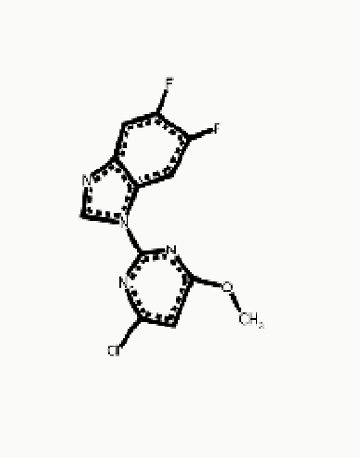 COc1cc(Cl)nc(-n2cnc3cc(F)c(F)cc32)n1